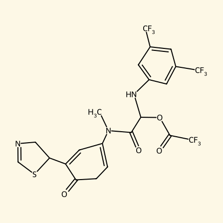 CN(C(=O)C(Nc1cc(C(F)(F)F)cc(C(F)(F)F)c1)OC(=O)C(F)(F)F)C1=CCC(=O)C(C2CN=CS2)=C1